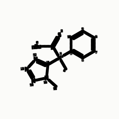 CCCCC(=S)[N+](C)(c1ccccc1)c1nnnn1C